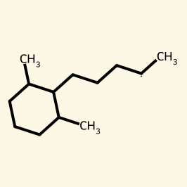 C[CH]CCCC1C(C)CCCC1C